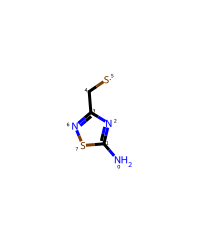 Nc1nc(C[S])ns1